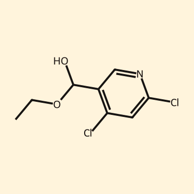 CCOC(O)c1cnc(Cl)cc1Cl